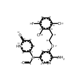 Nc1nnc(N(C=O)c2ccc(=O)[nH]c2)cc1OCCc1c(Cl)ccc(F)c1Cl